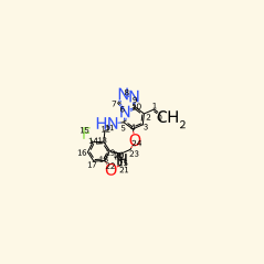 C=Cc1cc2c(n3cnnc13)NCc1c(F)ccc3c1[C@H](CO3)CO2